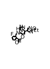 CCOc1ncc(-c2cc3c(n4cnnc24)NCc2c(F)ccc4c2[C@H](CO4)CO3)cn1